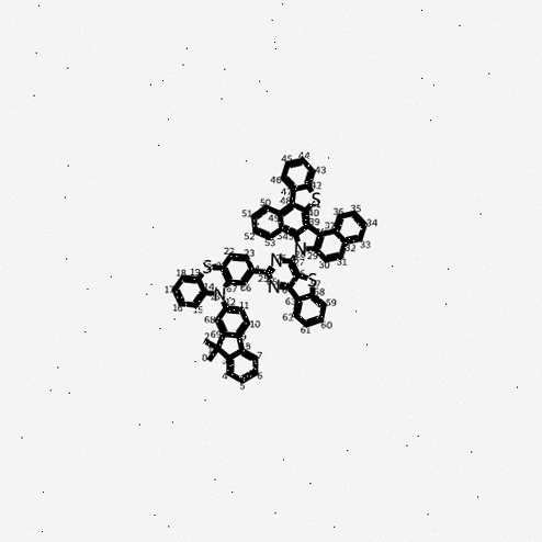 CC1(C)c2ccccc2-c2ccc(N3c4ccccc4Sc4ccc(-c5nc(-n6c7ccc8ccccc8c7c7c8sc9ccccc9c8c8ccccc8c76)c6sc7ccccc7c6n5)cc43)cc21